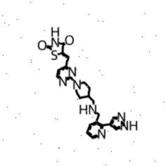 O=C1NC(=O)/C(=C/c2ccnc(N3CCC(CNCc4cccnc4-c4cn[nH]c4)CC3)n2)S1